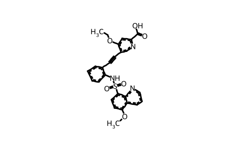 CCOc1cc(C(=O)O)ncc1C#Cc1ccccc1NS(=O)(=O)c1ccc(OC)c2cccnc12